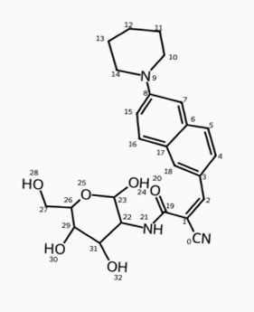 N#CC(=Cc1ccc2cc(N3CCCCC3)ccc2c1)C(=O)NC1C(O)OC(CO)C(O)C1O